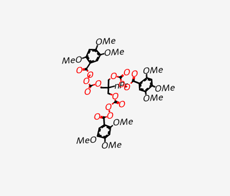 CCCC(COC(=O)OOC(=O)c1cc(OC)c(OC)cc1OC)(COC(=O)OOC(=O)c1cc(OC)c(OC)cc1OC)COC(=O)OOC(=O)c1cc(OC)c(OC)cc1OC